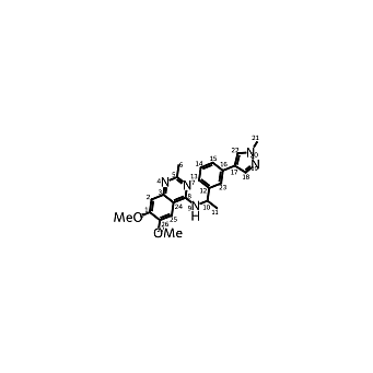 COc1cc2nc(C)nc(NC(C)c3cccc(-c4cnn(C)c4)c3)c2cc1OC